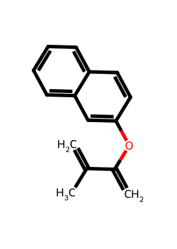 C=C(C)C(=C)Oc1ccc2ccccc2c1